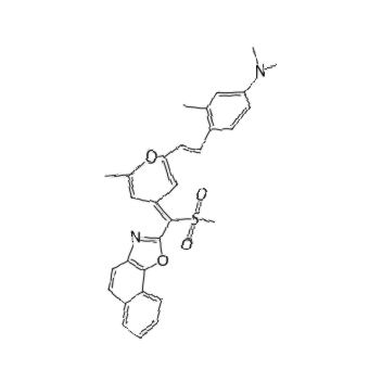 CC1=C/C(=C(\c2nc3ccc4ccccc4c3o2)S(C)(=O)=O)C=C(C=Cc2ccc(N(C)C)cc2C)O1